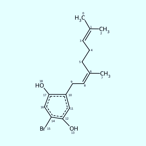 CC(C)=CCCC(C)=CCc1cc(O)c(Br)cc1O